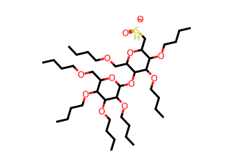 CCCCOCC1OC(C[SH](=O)=O)C(OCCCC)C(OCCCC)C1OC1OC(COCCCC)C(OCCCC)C(OCCCC)C1OCCCC